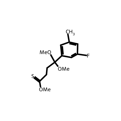 COC(=S)CCC(OC)(OC)c1cc(C)cc(F)c1